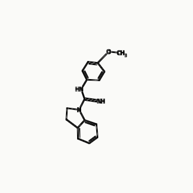 COc1ccc(NC(=N)N2CCc3ccccc32)cc1